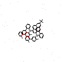 Cc1ccccc1-c1ccc(C)c(N(c2ccccc2-c2ccccc2)c2cc(N(c3cc(-c4ccccc4C)ccc3C)c3ccccc3-c3ccccc3)c3ccc4cc(C(C)(C)C)cc5ccc2c3c54)c1